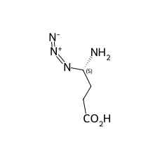 [N-]=[N+]=N[C@H](N)CCC(=O)O